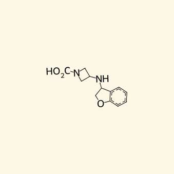 O=C(O)N1CC(NC2COc3ccccc32)C1